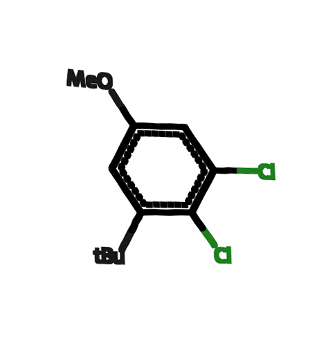 COc1cc(Cl)c(Cl)c(C(C)(C)C)c1